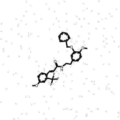 COc1ccc(/C=C/C(=O)NCCc2ccc(OC)c(OCc3ccccc3)c2)c(C(F)(F)F)c1